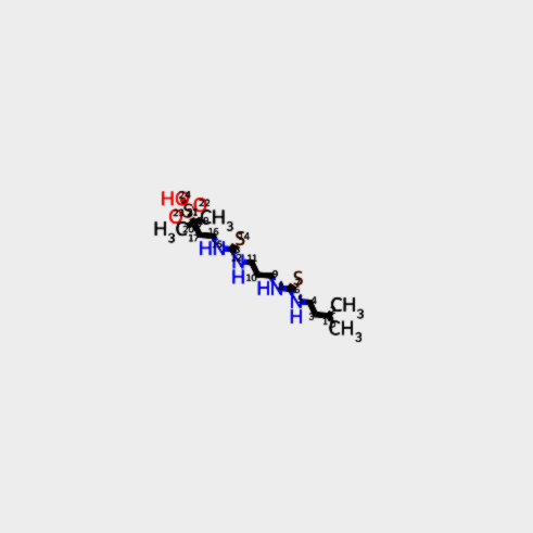 CC(C)CCNC(=S)NCCCNC(=S)NCCC(C)(C)S(=O)(=O)O